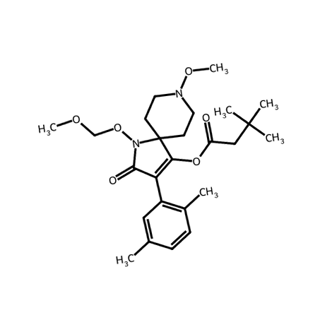 COCON1C(=O)C(c2cc(C)ccc2C)=C(OC(=O)CC(C)(C)C)C12CCN(OC)CC2